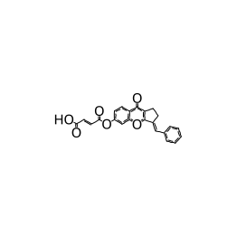 O=C(O)C=CC(=O)Oc1ccc2c(=O)c3c(oc2c1)C(=Cc1ccccc1)CC3